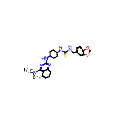 CN(C)c1nc(NC2CCC(NC(=S)NCc3ccc4c(c3)OCO4)CC2)nc2c1CCCC2